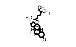 CC(CO)CCCC(C)[C@H]1CC[C@H]2[C@@H]3CC=C4CC(=O)CC[C@]4(C)[C@H]3CC[C@]12C